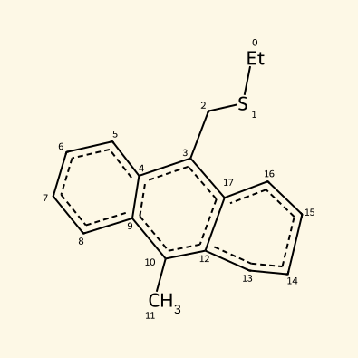 CCSCc1c2ccccc2c(C)c2ccccc12